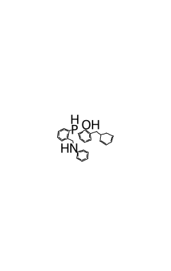 Oc1c(CC2C=CC=CC2)cccc1Pc1ccccc1CNc1ccccc1